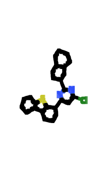 Clc1cc(-c2cccc3c2sc2ccccc23)nc(-c2ccc3ccccc3c2)n1